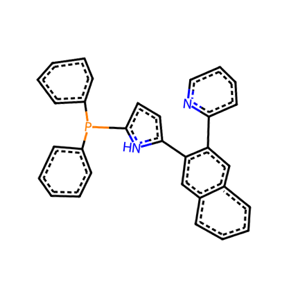 c1ccc(P(c2ccccc2)c2ccc(-c3cc4ccccc4cc3-c3ccccn3)[nH]2)cc1